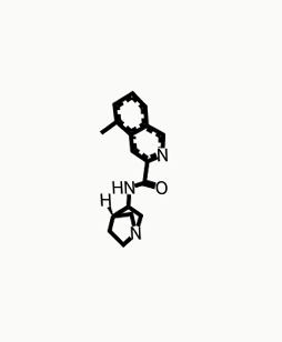 Cc1cccc2cnc(C(=O)NC3CN4CC[C@H]3C4)cc12